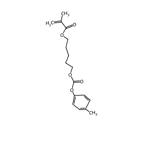 C=C(C)C(=O)OCCCCCOC(=O)Oc1ccc(C)cc1